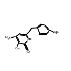 Cc1cc(Cc2ccc(Br)cc2)[nH]c(=O)c1O